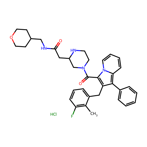 Cc1c(F)cccc1Cc1c(-c2ccccc2)c2ccccn2c1C(=O)N1CCNC(CC(=O)NCC2CCOCC2)C1.Cl